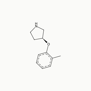 Cc1ccccc1O[C@H]1CCNC1